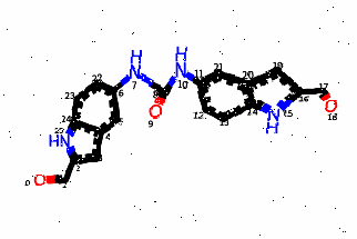 O=Cc1cc2cc(NC(=O)Nc3ccc4[nH]c(C=O)cc4c3)ccc2[nH]1